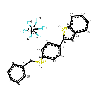 [F][Sb-]([F])([F])([F])([F])[F].c1ccc(C[SH+]c2ccc(-c3cc4ccccc4s3)cc2)cc1